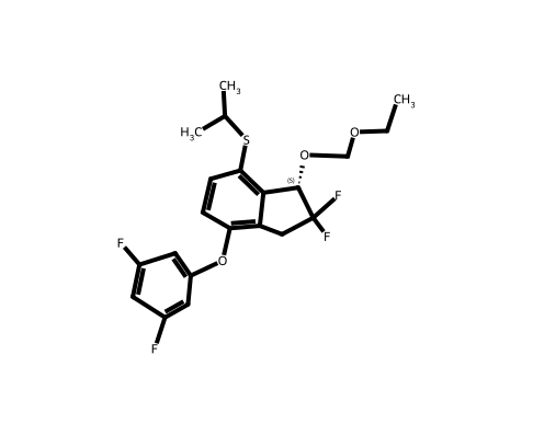 CCOCO[C@H]1c2c(SC(C)C)ccc(Oc3cc(F)cc(F)c3)c2CC1(F)F